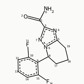 NC(=O)c1nc2n(n1)C(c1c(F)cccc1F)CCC2